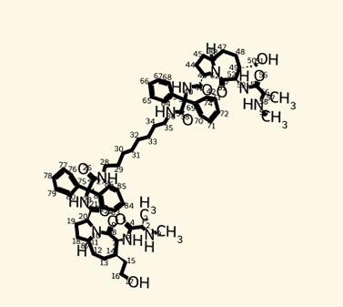 CN[C@@H](C)C(=O)N[C@@H]1C(=O)N2[C@@H](CC[C@@H]1CCO)CC[C@H]2C(=O)NC(C(=O)NCCCCCCCCNC(=O)C(NC(=O)[C@@H]1CC[C@@H]2CC[C@H](CO)[C@H](NC(=O)[C@H](C)NC)C(=O)N21)(c1ccccc1)c1ccccc1)(c1ccccc1)c1ccccc1